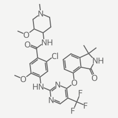 COc1cc(C(=O)NC2CCN(C)CC2OC)c(Cl)cc1Nc1ncc(C(F)(F)F)c(Oc2cccc3c2C(=O)NC3(C)C)n1